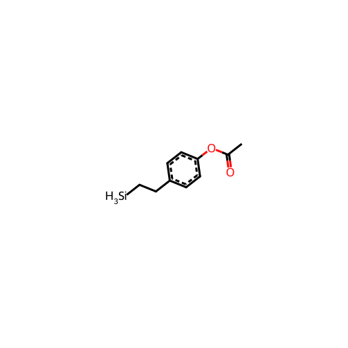 CC(=O)Oc1ccc(CC[SiH3])cc1